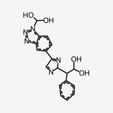 OC(O)C(c1ccccc1)C1N=CC(c2ccc3c(c2)nnn3C(O)O)=N1